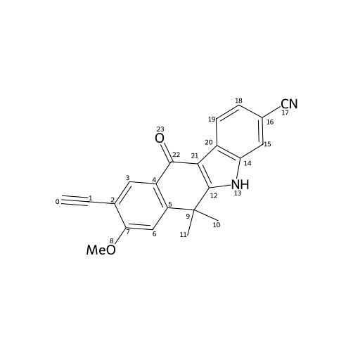 C#Cc1cc2c(cc1OC)C(C)(C)c1[nH]c3cc(C#N)ccc3c1C2=O